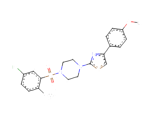 CCOc1ccc(-c2csc(N3CCN(S(=O)(=O)c4cc(Br)ccc4OC)CC3)n2)cc1